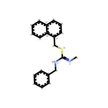 C/N=C(/NCc1ccccc1)SCc1cccc2ccccc12